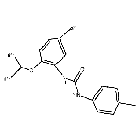 Cc1ccc(NC(=O)Nc2cc(Br)ccc2OC(C(C)C)C(C)C)cc1